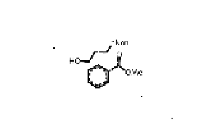 CCCCCCCCCCCCO.COC(=O)c1ccccc1